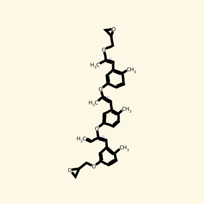 C=C/C(=C\c1cc(OCC2CO2)ccc1C)Oc1ccc(C)c(/C=C(\C)Oc2ccc(C)c(/C=C(\C)OCC3CO3)c2)c1